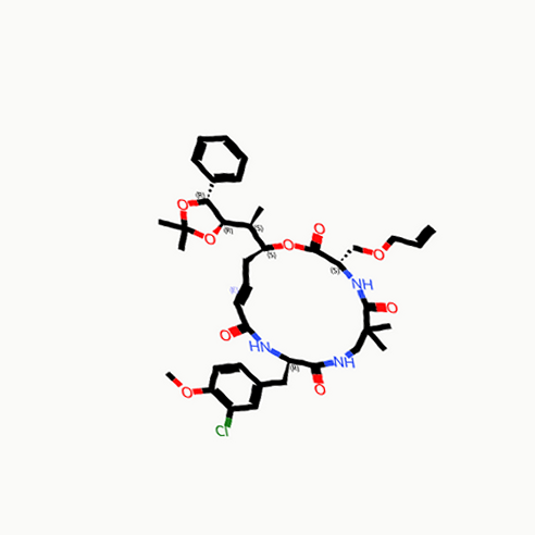 C=CCOC[C@@H]1NC(=O)C(C)(C)CNC(=O)[C@@H](Cc2ccc(OC)c(Cl)c2)NC(=O)/C=C/C[C@@H]([C@H](C)[C@H]2OC(C)(C)O[C@@H]2c2ccccc2)OC1=O